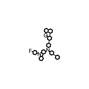 Fc1ccc(-n2c3ccccc3c3cc(N(c4ccc(-c5ccccc5)cc4)c4ccc(-c5ccc6c(c5)Oc5cccc7cccc-6c57)cc4)ccc32)cc1